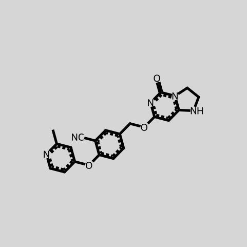 Cc1cc(Oc2ccc(COc3cc4n(c(=O)n3)CCN4)cc2C#N)ccn1